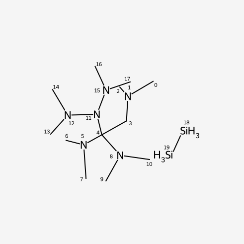 CN(C)CC(N(C)C)(N(C)C)N(N(C)C)N(C)C.[SiH3][SiH3]